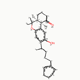 CC(CCCc1ccccc1)c1cc2c(cc1O)[C@@H]1C(=O)CCC[C@@H]1C(C)(C)O2